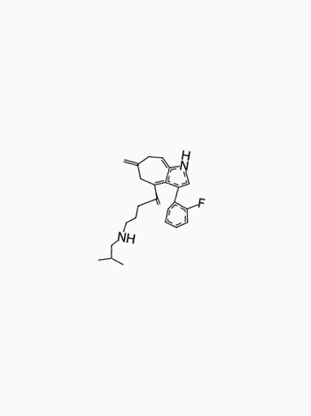 C=C1CC=c2[nH]cc(-c3ccccc3F)c2=C(C(=C)CCCNCC(C)C)C1